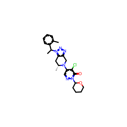 Cc1ccccc1C(C)n1nnc2c1C[C@@H](C)N(c1cnn(C3CCCCO3)c(=O)c1Cl)C2